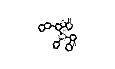 C1=Cc2c(oc3cc(-c4ccc5ccccc5c4)cc(C4=NC(c5ccccc5)=NC(c5cccc6oc7ccccc7c56)N4)c23)NC1